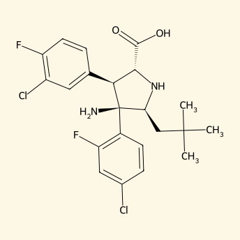 CC(C)(C)C[C@@H]1N[C@@H](C(=O)O)[C@H](c2ccc(F)c(Cl)c2)[C@@]1(N)c1ccc(Cl)cc1F